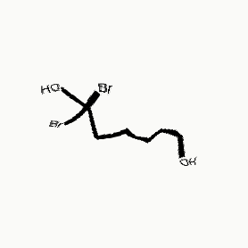 OCCCCC(O)(Br)Br